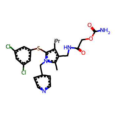 Cc1c(CNC(=O)COC(N)=O)c(C(C)C)c(Sc2cc(Cl)cc(Cl)c2)n1Cc1ccncc1